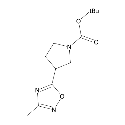 Cc1noc(C2CCN(C(=O)OC(C)(C)C)C2)n1